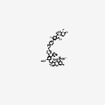 COc1cc(N2CCN(CCC3(F)CCN(c4cc5c(cc4F)C(=O)N(C4CCC(=O)NC4=O)C5=O)CC3)CC2)c(-c2cnn(C)c2)cc1Nc1ncc(Br)c(Nc2ccc(F)cc2P(=O)(OC)OC)n1